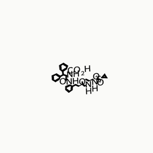 O=C(O)N[C@H](C(=O)Nc1ccccc1CC[C@@H]1CN[C@H](CNS(=O)(=O)C2CC2)CO1)C(c1ccccc1)c1ccccc1